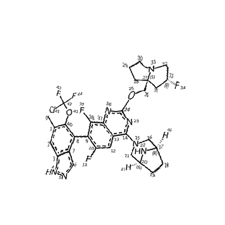 Cc1cc2[nH]ncc2c(-c2c(F)cc3c(N4C[C@H]5CC[C@@H](C4)N5)nc(OC[C@@]45CCCN4C[C@H](F)C5)nc3c2F)c1OC(F)(F)Cl